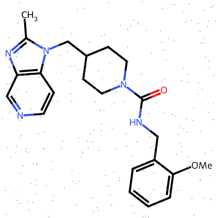 COc1ccccc1CNC(=O)N1CCC(Cn2c(C)nc3cnccc32)CC1